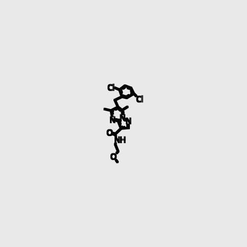 COCCNC(=O)c1cnn2c(C)c(Cc3cc(Cl)ccc3Cl)c(C)nc12